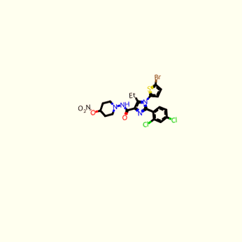 CCc1c(C(=O)NN2CCC(O[N+](=O)[O-])CC2)nc(-c2ccc(Cl)cc2Cl)n1-c1ccc(Br)s1